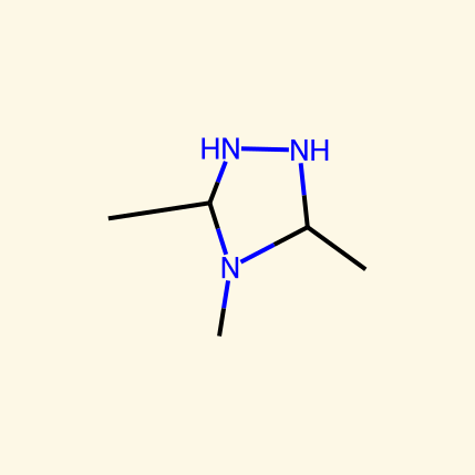 CC1NNC(C)N1C